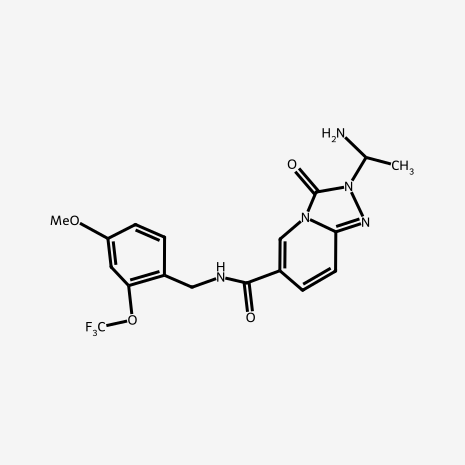 COc1ccc(CNC(=O)c2ccc3nn(C(C)N)c(=O)n3c2)c(OC(F)(F)F)c1